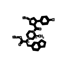 C[C@H]1CN([C@@H](Cc2ccc3c(c2)CCC3)C(=O)OC(C)(C)C)CCN1C(=O)C1CN(C(C)(C)C)CC1c1ccc(Cl)cc1